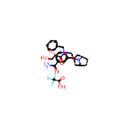 NC(=O)c1cccc(C2CC3CCC(C2)N3CCN(Cc2ccccc2)C(=O)[C@@H](O)CO)c1.O=C(O)C(F)(F)F